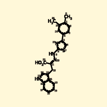 Cc1ccc(-c2csc(N/N=C(/Cc3c[nH]c4ccccc34)C(=O)O)n2)cc1C